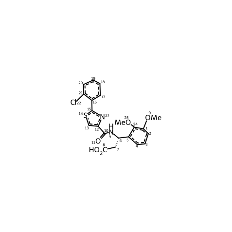 COc1cccc([C@H](CC(=O)O)NC(=O)c2csc(-c3ccccc3Cl)n2)c1OC